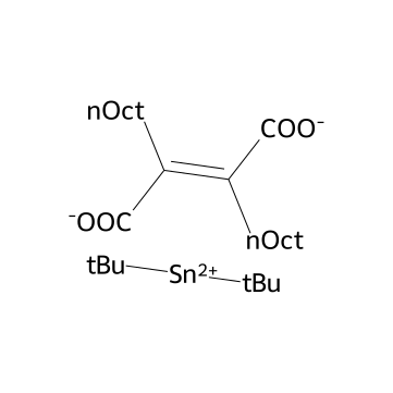 CCCCCCCCC(C(=O)[O-])=C(CCCCCCCC)C(=O)[O-].C[C](C)(C)[Sn+2][C](C)(C)C